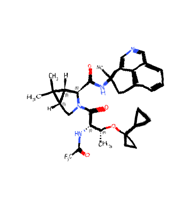 C[C@@H](OC1(C2CC2)CC1)[C@H](NC(=O)C(F)(F)F)C(=O)N1C[C@H]2[C@@H]([C@H]1C(=O)NC1(C#N)Cc3cccc4cncc1c34)C2(C)C